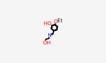 CCOc1ccc(/C=N/CCO)cc1O